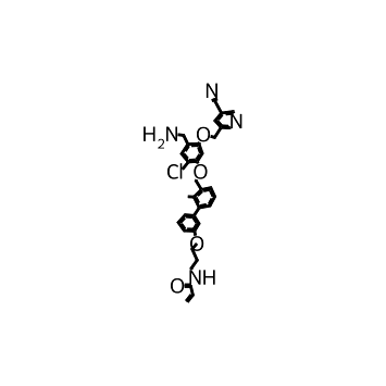 C=CC(=O)NCCCOc1cccc(-c2cccc(COc3cc(OCc4cncc(C#N)c4)c(CN)cc3Cl)c2C)c1